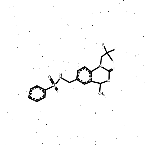 CC1OC(=O)N(CC(F)(F)F)c2ccc(CNS(=O)(=O)c3ccccc3)cc21